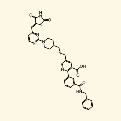 O=C1NC(=O)C(=Cc2ccnc(N3CCC(CNCc4cnc(-c5cccc(C(=O)NCc6ccccc6)c5)c(C(=O)O)c4)CC3)n2)S1